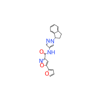 O=C(Nc1cnn(C2CCc3ccccc32)c1)c1cc(-c2ccco2)on1